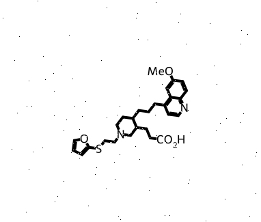 COc1ccc2nccc(CCCC3CCN(CCSc4ccco4)CC3CCC(=O)O)c2c1